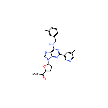 COC(=O)C1CCC(n2cnc3c(NCc4cccc(C)c4)nc(-c4cncc(C)c4)nc32)O1